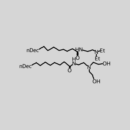 CCCCCCCCCCCCCCCCCC(=O)NCCN(CC)CC.CCCCCCCCCCCCCCCCCC(=O)NCCN(CCO)CCO